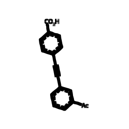 CC(=O)c1cccc(C#Cc2ccc(C(=O)O)cc2)c1